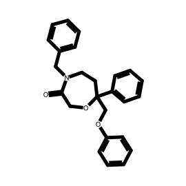 O=C1COC(COc2ccccc2)(c2ccccc2)CCN1Cc1ccccc1